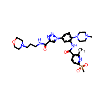 CN1CCN(c2ccc(-n3cc(C(=O)NCCCN4CCOCC4)nn3)cc2NC(=O)c2ccc(S(C)(=O)=O)nc2C(F)(F)F)CC1